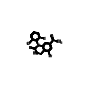 CC(=O)c1cc(Br)c2c(c1)N(c1c(Cl)cccc1Cl)C(=O)NC2